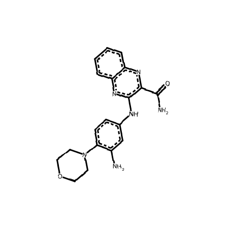 NC(=O)c1nc2ccccc2nc1Nc1ccc(N2CCOCC2)c(N)c1